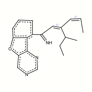 C/C=C\C(=C\C(=N)c1cccc2oc3cncnc3c12)C(C)CC